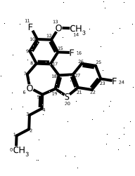 CCCC/C=C1\OCc2cc(F)c(OC)c(F)c2-c2c1sc1cc(F)ccc21